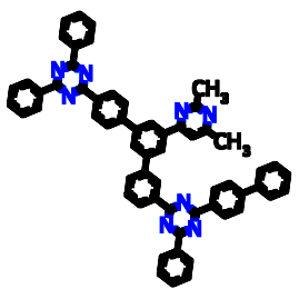 Cc1cc(-c2cc(-c3ccc(-c4nc(-c5ccccc5)nc(-c5ccccc5)n4)cc3)cc(-c3cccc(-c4nc(-c5ccccc5)nc(-c5ccc(-c6ccccc6)cc5)n4)c3)c2)nc(C)n1